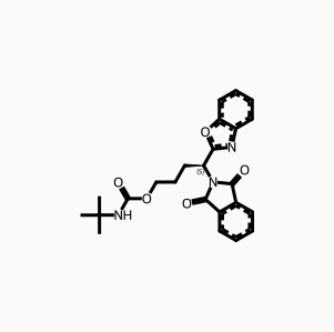 CC(C)(C)NC(=O)OCCC[C@@H](c1nc2ccccc2o1)N1C(=O)c2ccccc2C1=O